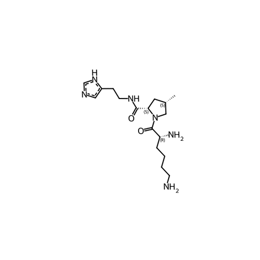 C[C@H]1C[C@@H](C(=O)NCCc2cnc[nH]2)N(C(=O)[C@H](N)CCCCN)C1